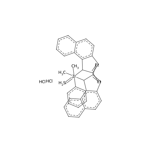 CCC1=Cc2ccc3ccccc3c2[CH]1[Zr]([CH3])([CH3])(=[SiH2])([c]1ccccc1)[CH]1C(CC)=Cc2ccc3ccccc3c21.Cl.Cl